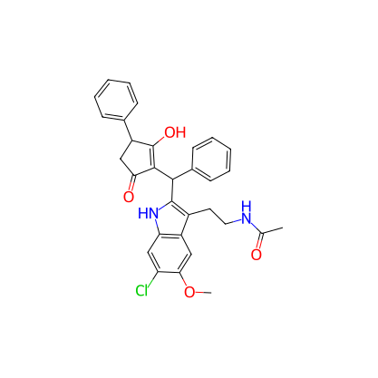 COc1cc2c(CCNC(C)=O)c(C(C3=C(O)C(c4ccccc4)CC3=O)c3ccccc3)[nH]c2cc1Cl